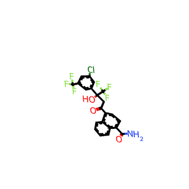 NC(=O)c1ccc(C(=O)CC(O)(c2cc(Cl)cc(C(F)(F)F)c2)C(F)(F)F)c2ccccc12